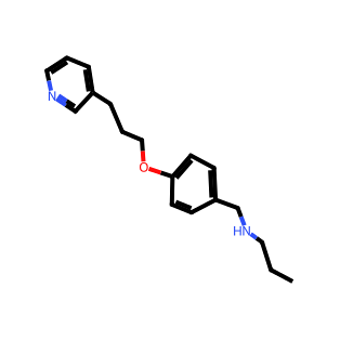 CCCNCc1ccc(OCCCc2cccnc2)cc1